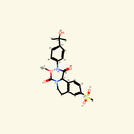 CC(C)(C)OC(=O)N1CCc2cc(S(C)(=O)=O)ccc2C1C(=O)Nc1ccc(C(C)(C)O)cc1